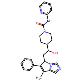 CC1=C(c2ccccc2)C(CC(O)C2CCN(C(=O)Nc3ccccn3)CC2)n2cncc21